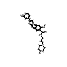 COc1cc2c(cc1C(=O)NCCCN1CCC(F)CC1)sc1nc(-c3ccnc(C)c3)cn12